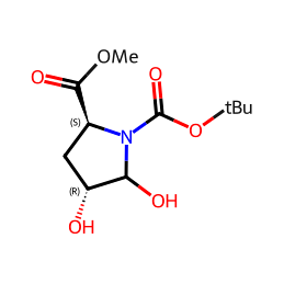 COC(=O)[C@@H]1C[C@@H](O)C(O)N1C(=O)OC(C)(C)C